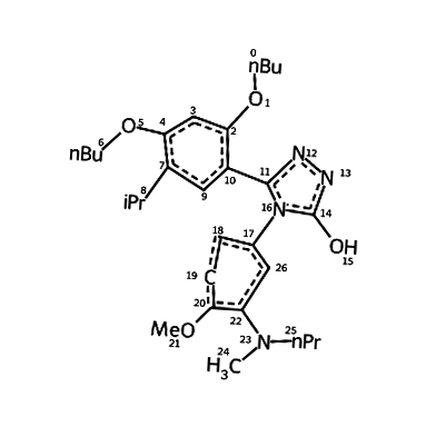 CCCCOc1cc(OCCCC)c(C(C)C)cc1-c1nnc(O)n1-c1ccc(OC)c(N(C)CCC)c1